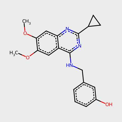 COc1cc2nc(C3CC3)nc(NCc3cccc(O)c3)c2cc1OC